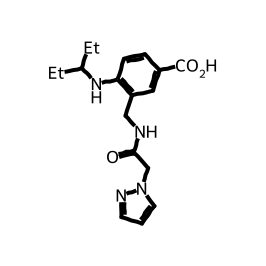 CCC(CC)Nc1ccc(C(=O)O)cc1CNC(=O)Cn1cccn1